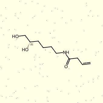 C=CCC(=O)NCCCC[C@H](O)CO